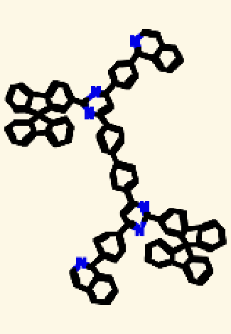 c1ccc2c(c1)-c1ccccc1C21c2ccccc2-c2ccc(-c3nc(-c4ccc(-c5ccc(-c6cc(-c7ccc(-c8nccc9ccccc89)cc7)nc(-c7ccc8c(c7)C7(c9ccccc9-c9ccccc97)c7ccccc7-8)n6)cc5)cc4)cc(-c4ccc(-c5nccc6ccccc56)cc4)n3)cc21